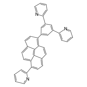 c1ccc(-c2cc(-c3ccccn3)cc(-c3ccc4ccc5c(-c6ccccn6)ccc6ccc3c4c65)c2)nc1